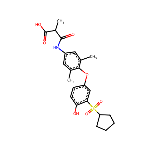 Cc1cc(NC(=O)C(C)C(=O)O)cc(C)c1Oc1ccc(O)c(S(=O)(=O)C2CCCC2)c1